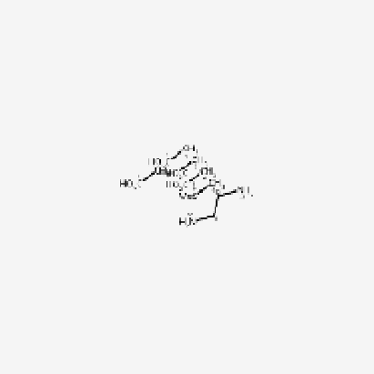 CC(=O)O.CC(=O)O.CC(=O)O.CC(=O)O.CSC.NCCN